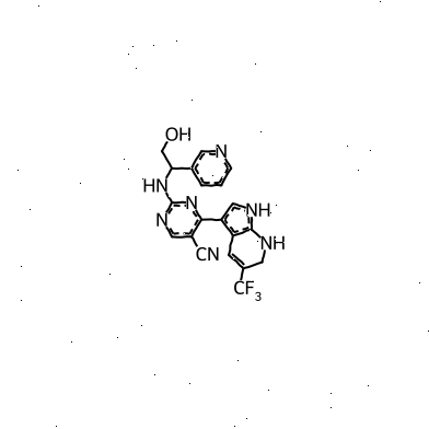 N#Cc1cnc(NC(CO)c2cccnc2)nc1-c1c[nH]c2c1C=C(C(F)(F)F)CN2